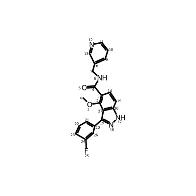 COc1c(C(=O)NCc2cccnc2)ccc2[nH]nc(-c3cccc(F)c3)c12